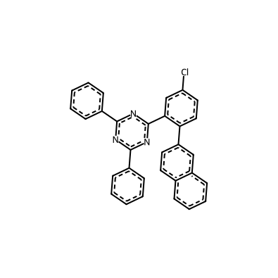 Clc1ccc(-c2ccc3ccccc3c2)c(-c2nc(-c3ccccc3)nc(-c3ccccc3)n2)c1